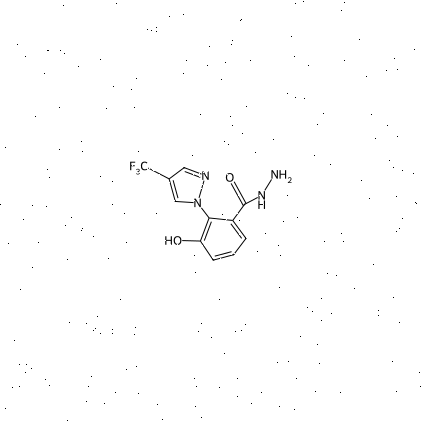 NNC(=O)c1cccc(O)c1-n1cc(C(F)(F)F)cn1